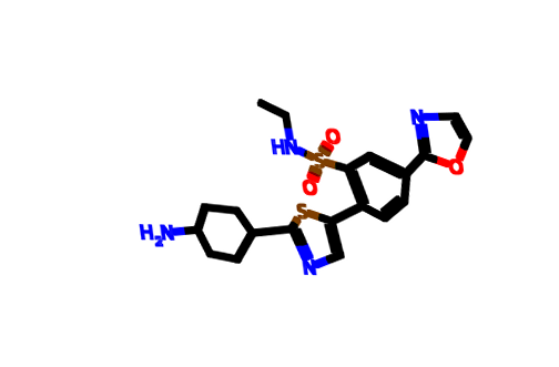 CCNS(=O)(=O)c1cc(-c2ncco2)ccc1-c1cnc(C2CCC(N)CC2)s1